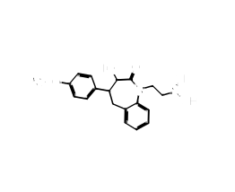 COc1ccc(C2Cc3ccccc3N(CCN(C)C)C(=O)C2O)cc1